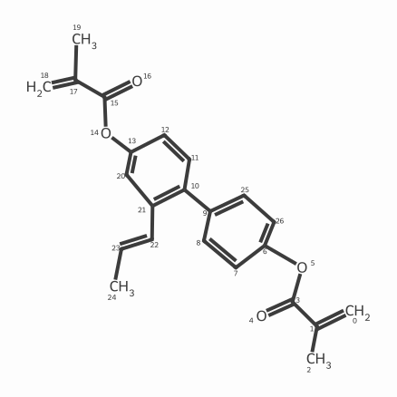 C=C(C)C(=O)Oc1ccc(-c2ccc(OC(=O)C(=C)C)cc2/C=C/C)cc1